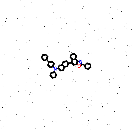 c1ccc(-c2ccc(N(c3ccccc3)c3ccc4cc(-c5cc6oc(-c7ccccc7)nc6c6ccccc56)ccc4c3)cc2)cc1